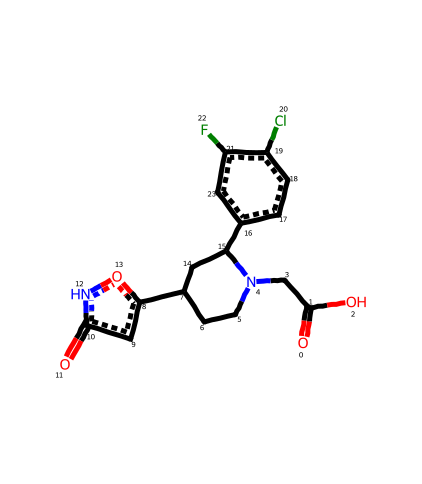 O=C(O)CN1CCC(c2cc(=O)[nH]o2)CC1c1ccc(Cl)c(F)c1